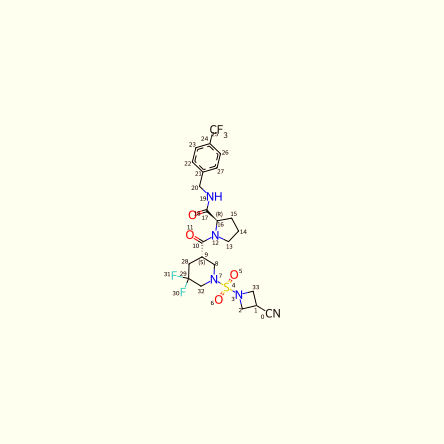 N#CC1CN(S(=O)(=O)N2C[C@@H](C(=O)N3CCC[C@@H]3C(=O)NCc3ccc(C(F)(F)F)cc3)CC(F)(F)C2)C1